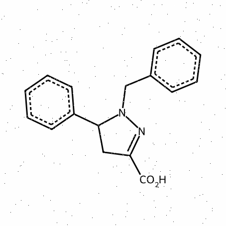 O=C(O)C1=NN(Cc2ccccc2)C(c2ccccc2)C1